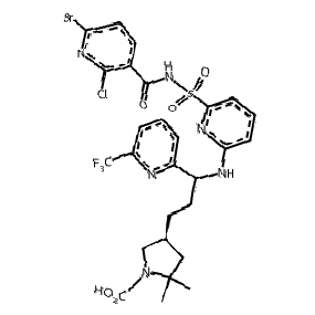 CC1(C)C[C@H](CCC(Nc2cccc(S(=O)(=O)NC(=O)c3ccc(Br)nc3Cl)n2)c2cccc(C(F)(F)F)n2)CN1C(=O)O